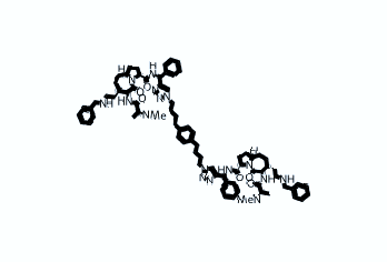 CN[C@@H](C)C(=O)N[C@@H]1C(=O)N2[C@@H](CC[C@@H]1CCNCc1ccccc1)CC[C@H]2C(=O)N[C@@H](c1ccccc1)c1cn(CCCCc2ccc(CCCCn3cc([C@@H](NC(=O)[C@@H]4CC[C@@H]5CC[C@H](CCNCc6ccccc6)[C@H](NC(=O)[C@H](C)NC)C(=O)N54)c4ccccc4)nn3)cc2)nn1